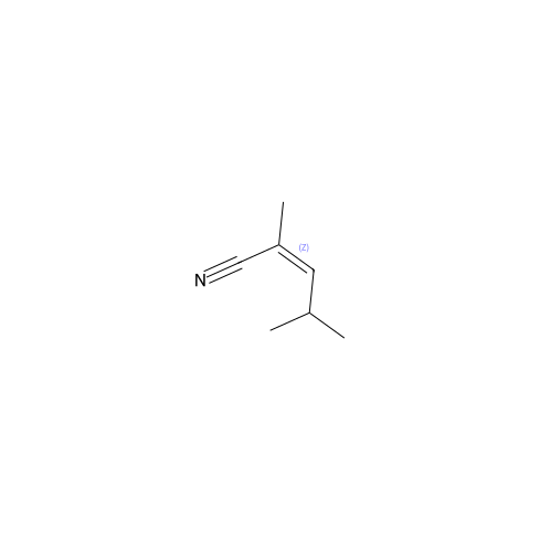 C/C(C#N)=C/C(C)C